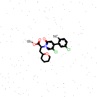 CC(C)(C)OC(=O)C(CC1CCCCO1)n1cc(Cl)c(-c2cc(Cl)ccc2C#N)cc1=O